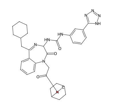 O=C(Nc1cccc(-c2nnn[nH]2)c1)NC1N=C(CC2CCCCC2)c2ccccc2N(CC(=O)N2CC3CCC(CC3)C2)C1=O